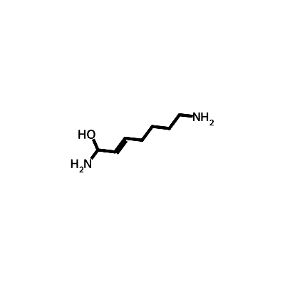 NCCCCC=CC(N)O